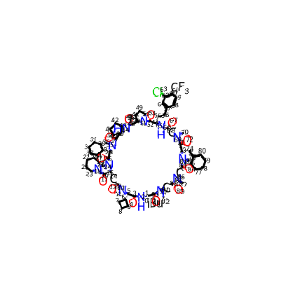 CC[C@H](C)[C@@H]1NC(=O)[C@H](C2CCC2)N(C)C(=O)C[C@@H](C(=O)N2CCCCC2)N(C)C(=O)[C@H](C2CCCCC2)N(C)C(=O)C2(CCCC2)NC(=O)[C@@H]2CCCN2C(=O)[C@H](CCc2ccc(C(F)(F)F)c(Cl)c2)NC(=O)CN(C)C(=O)[C@H](CC2CCCCC2)N(C)C(=O)CN(C)C(=O)CN(C)C1=O